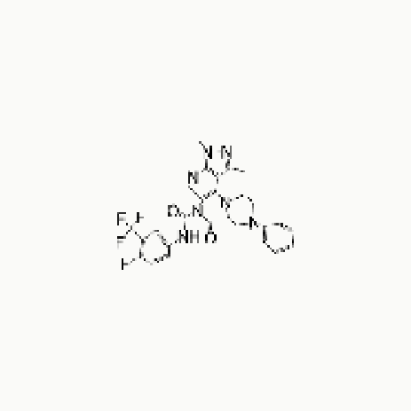 Cc1nn(C)c2ncc(N(C=O)C(=O)Nc3ccc(F)c(C(F)(F)F)c3)c(N3CCN(c4ccccc4)CC3)c12